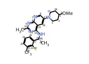 COC1CCN(c2cnc3nc(C)nc(N[C@H](C)c4cccc(C(F)(F)F)c4F)c3c2)CC1